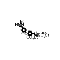 CCOC(=O)C(CCc1ccc(Oc2ccc(-c3c[nH]c(CC)n3)cc2)cc1)(NC(C)=O)C(=O)OCC